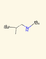 CC(CNC(C)(C)C)C(C)(C)C